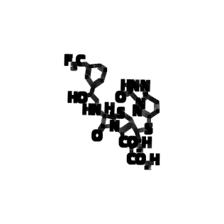 O=C(O)CCC(Sc1ccc2n[nH]c(=O)n2n1)C1=C(C(=O)O)N2C(=O)C(NCC(O)c3cccc(C(F)(F)F)c3)[C@@H]2SC1